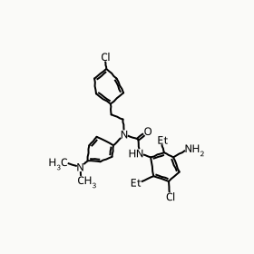 CCc1c(N)cc(Cl)c(CC)c1NC(=O)N(CCc1ccc(Cl)cc1)c1ccc(N(C)C)cc1